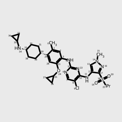 Cc1cc(Nc2ncc(Cl)c(Nc3cn(C)nc3S(=O)(=O)C(C)C)n2)c(OC2CC2)cc1[C@H]1CC[C@@H](NC2CC2)CC1